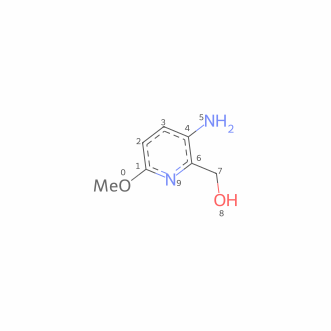 COc1ccc(N)c(CO)n1